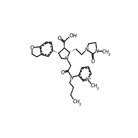 CCCCN(C(=O)CN1C[C@H](c2ccc3c(c2)CCO3)[C@@H](C(=O)O)[C@@H]1CCN1CCN(C)C1=O)c1ccc[n+](C)c1